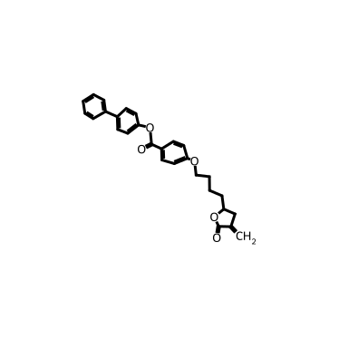 C=C1CC(CCCCOc2ccc(C(=O)Oc3ccc(-c4ccccc4)cc3)cc2)OC1=O